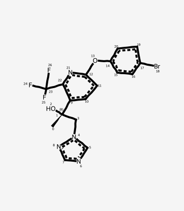 C[C@](O)(Cn1cncn1)c1ccc(Oc2ccc(Br)cc2)nc1C(F)(F)F